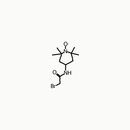 CC1(C)CC(NC(=O)CBr)CC(C)(C)N1[O]